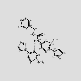 Nc1ccc(-n2ccnc2)c(F)c1.O=C(Nc1ccc(-n2ccnc2)c(F)c1)OCc1ccccc1